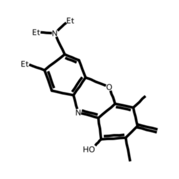 C=c1c(C)c(O)c2c(c1C)Oc1cc(N(CC)CC)c(CC)cc1N=2